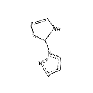 C1=CS[C](n2cccn2)N1